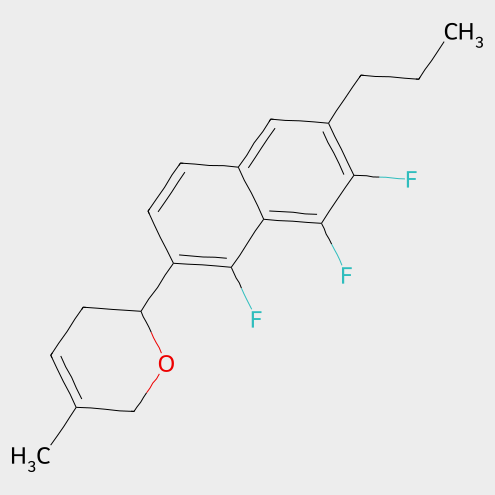 CCCc1cc2ccc(C3CC=C(C)CO3)c(F)c2c(F)c1F